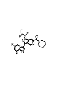 O=C(c1cc2c(cn1)c(-c1cnc3c(F)cc(F)cn13)nn2C(F)C(F)F)N1CCCCCC1